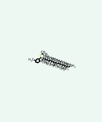 CCC(C)(C)C(C)(C)C(C)(C)C(C)(C)C(C)(C)C(C)(C)C(C)(C)C(C)(C)C(C)(C)C(C)(C)C(C)(C)[Si](C)(C)C(SC(C)C)c1cccc(C)c1